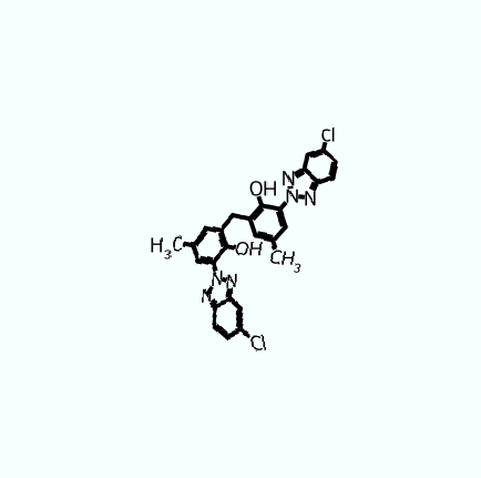 Cc1cc(Cc2cc(C)cc(-n3nc4ccc(Cl)cc4n3)c2O)c(O)c(-n2nc3ccc(Cl)cc3n2)c1